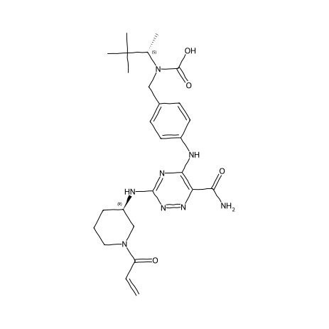 C=CC(=O)N1CCC[C@@H](Nc2nnc(C(N)=O)c(Nc3ccc(CN(C(=O)O)[C@@H](C)C(C)(C)C)cc3)n2)C1